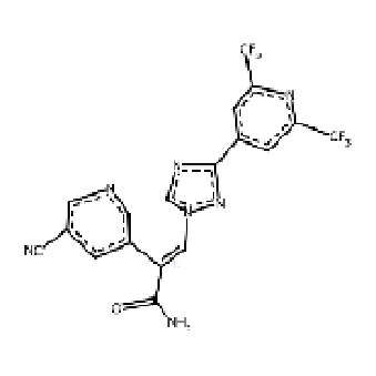 N#Cc1cncc(/C(=C\n2cnc(-c3cc(C(F)(F)F)nc(C(F)(F)F)c3)n2)C(N)=O)c1